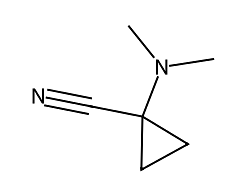 CN(C)C1(C#N)CC1